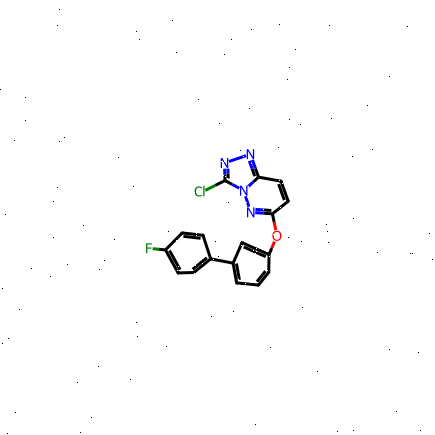 Fc1ccc(-c2cccc(Oc3ccc4nnc(Cl)n4n3)c2)cc1